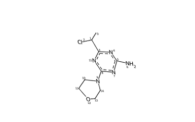 CC(Cl)c1nc(N)nc(N2CCOCC2)n1